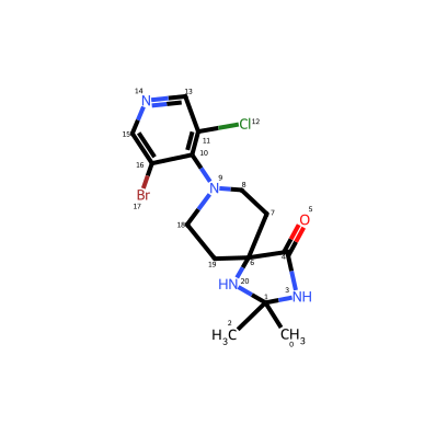 CC1(C)NC(=O)C2(CCN(c3c(Cl)cncc3Br)CC2)N1